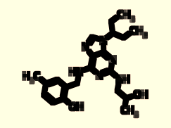 CCC(CC)n1cnc2c(NCc3cc(C)ccc3O)nc(NCC(C)O)nc21